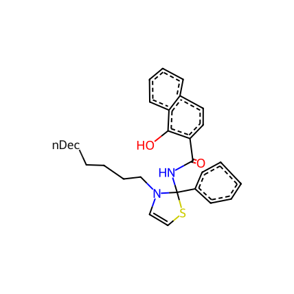 CCCCCCCCCCCCCCN1C=CSC1(NC(=O)c1ccc2ccccc2c1O)c1ccccc1